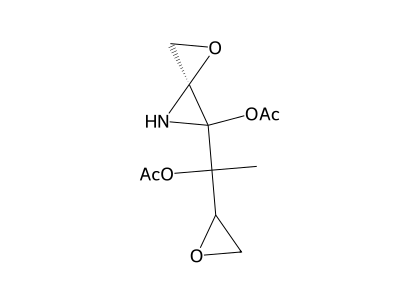 CC(=O)OC(C)(C1CO1)C1(OC(C)=O)N[C@]12CO2